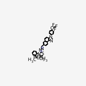 CC(C)c1ccccc1N1/C(=N/N=C/c2ccc3c(ccc4c3ncn4-c3ccc(OC(F)(F)F)cc3)c2)SCC1(C)O